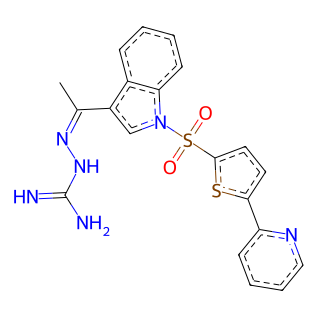 C/C(=N/NC(=N)N)c1cn(S(=O)(=O)c2ccc(-c3ccccn3)s2)c2ccccc12